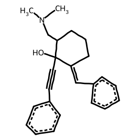 CN(C)CC1CCCC(=Cc2ccccc2)C1(O)C#Cc1ccccc1